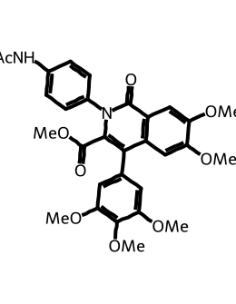 COC(=O)c1c(-c2cc(OC)c(OC)c(OC)c2)c2cc(OC)c(OC)cc2c(=O)n1-c1ccc(NC(C)=O)cc1